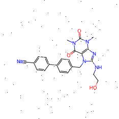 Cn1c(=O)c2c(nc(NCCO)n2Cc2ccc(-c3ccc(C#N)cc3)cc2)n(C)c1=O